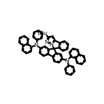 CC(C)(C)c1cc2n(n1)C1(c3cc(N(c4ccccc4)c4cccc5ccccc45)ccc3-c3ccc(N(c4ccccc4)c4cccc5ccccc45)cc31)c1ccccc1-2